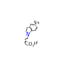 CCc1ccc2c(ccn2CCC(=O)O)c1